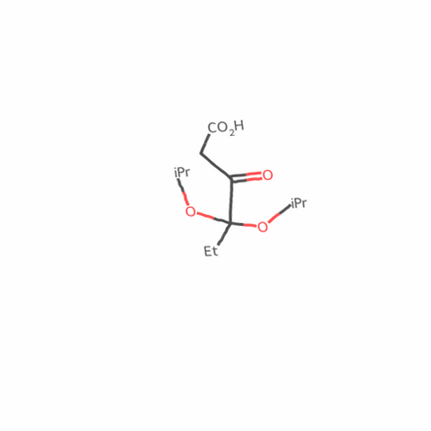 CCC(OC(C)C)(OC(C)C)C(=O)CC(=O)O